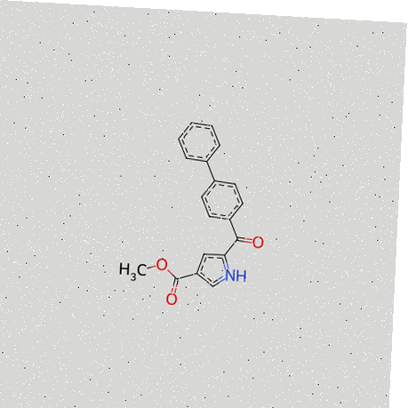 COC(=O)c1c[nH]c(C(=O)c2ccc(-c3ccccc3)cc2)c1